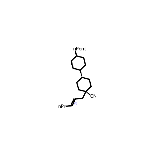 CCC/C=C/C[C@]1(C#N)CC[C@@H](C2CCC(CCCCC)CC2)CC1